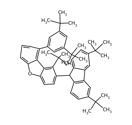 CC(C)(C)c1cc(-c2cccc3oc4ccc(C5c6ccc(C(C)(C)C)cc6-c6cc(C(C)(C)C)ccc65)c(C(C)(C)C)c4c23)cc(C(C)(C)C)c1